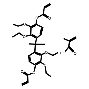 C=C(C)C(=O)O.C=CC(=O)Oc1ccc(C(C)(C)c2ccc(OC(=O)C=C)c(OCC)c2OCC)c(OCC)c1OCC